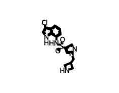 O=S(=O)(Nc1cccc2c(Cl)c[nH]c12)c1cnn(CC2CNC2)c1